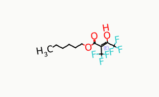 CCCCCCOC(=O)/C(=C(\O)C(F)(F)F)C(F)(F)F